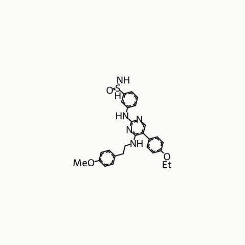 CCOc1ccc(-c2cnc(Nc3cccc([SH](=N)=O)c3)nc2NCCc2ccc(OC)cc2)cc1